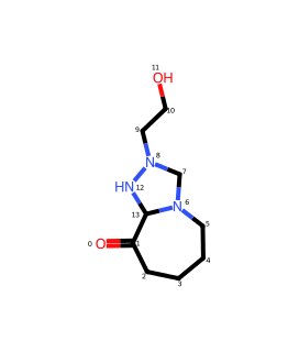 O=C1CCCCN2CN(CCO)NC12